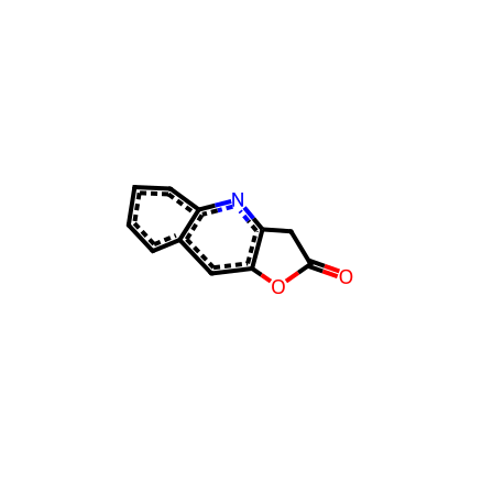 O=C1Cc2nc3ccccc3cc2O1